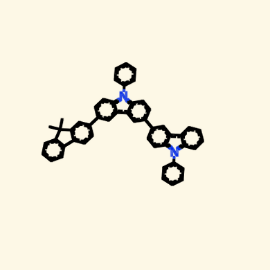 CC1(C)c2ccccc2-c2ccc(-c3ccc4c(c3)c3cc(-c5ccc6c(c5)c5ccccc5n6-c5ccccc5)ccc3n4-c3ccccc3)cc21